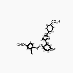 Cc1cc(C=O)ccc1COc1ccc(F)cc1-c1csc(C2CCC(C(=O)O)CC2)n1